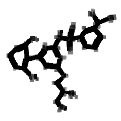 Cc1cccc(C)c1-c1cc(OC[C@H](N)CC(C)(C)C)nc(NS(=O)(=O)c2cccc(C(O)O)c2)n1